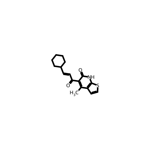 Cc1c(C(=O)C=CC2CCCCC2)c(=O)[nH]c2sccc12